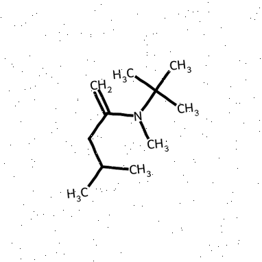 C=C(CC(C)C)N(C)C(C)(C)C